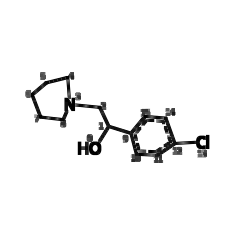 OC(CN1CCCCC1)c1ccc(Cl)cc1